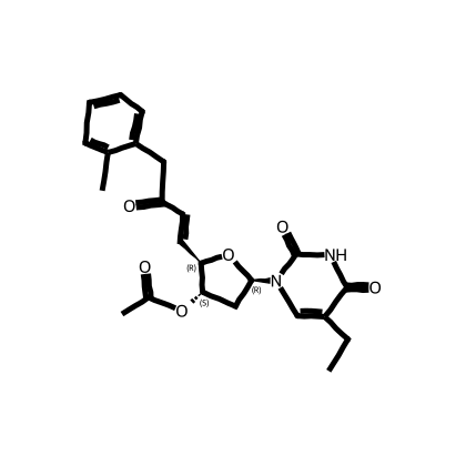 CCc1cn([C@H]2C[C@H](OC(C)=O)[C@@H](C=CC(=O)Cc3ccccc3C)O2)c(=O)[nH]c1=O